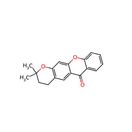 CC1(C)CCc2cc3c(=O)c4ccccc4oc3cc2O1